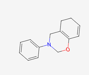 C1=CC2=C(CC1)CN(c1ccccc1)CO2